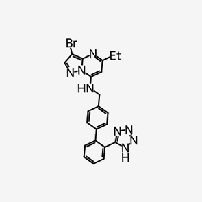 CCc1cc(NCc2ccc(-c3ccccc3-c3nnn[nH]3)cc2)n2ncc(Br)c2n1